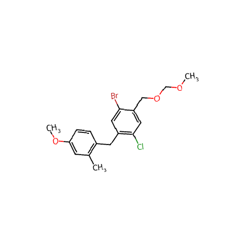 COCOCc1cc(Cl)c(Cc2ccc(OC)cc2C)cc1Br